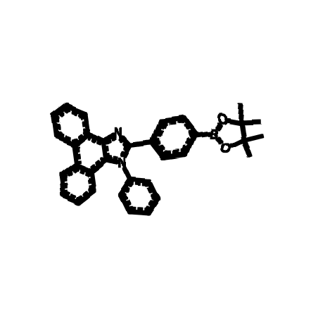 CC1(C)OB(c2ccc(-c3nc4c5ccccc5c5ccccc5c4n3-c3ccccc3)cc2)OC1(C)C